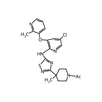 CC(=O)N1CCC(C)(c2nsc(Nc3ncc(Cl)cc3Oc3cccnc3C)n2)CC1